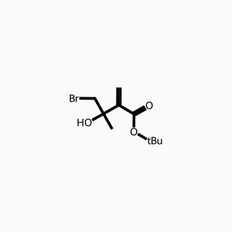 C=C(C(=O)OC(C)(C)C)C(C)(O)CBr